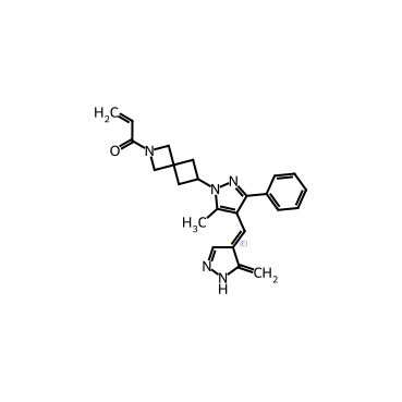 C=CC(=O)N1CC2(CC(n3nc(-c4ccccc4)c(/C=c4\cn[nH]c4=C)c3C)C2)C1